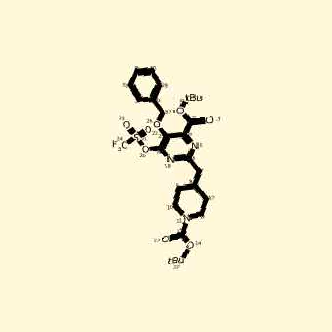 CC(C)(C)OC(=O)c1nc(CC2CCN(C(=O)OC(C)(C)C)CC2)nc(OS(=O)(=O)C(F)(F)F)c1OCc1ccccc1